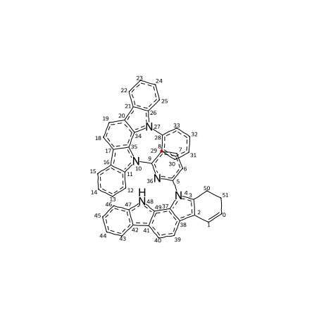 C1=Cc2c(n(-c3cccc(-n4c5ccccc5c5ccc6c7ccccc7n(-c7ccccc7)c6c54)n3)c3c2ccc2c4ccccc4[nH]c23)CC1